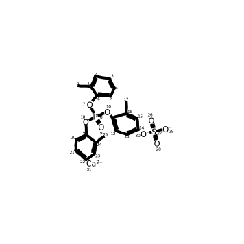 Cc1ccccc1OP(=O)(Oc1ccccc1C)Oc1ccccc1C.O=S(=O)([O-])[O-].[Ca+2]